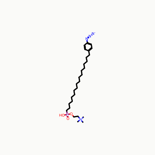 C[N+](C)(C)CCOP(=O)(O)CCCCCCCCCCCCCCCCCCc1ccc(N=[N+]=[N-])cc1